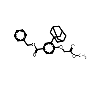 COC(=O)COc1ccc(C(=O)OCc2ccccc2)cc1C12CC3CC(CC(C3)C1)C2